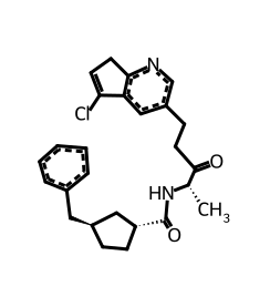 C[C@H](NC(=O)[C@@H]1CC[C@@H](Cc2ccccc2)C1)C(=O)CCc1cnc2c(c1)C(Cl)=CC2